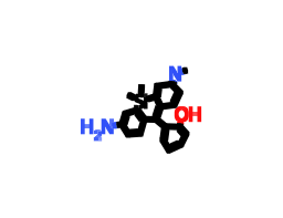 C/N=C1\C=CC2=C(c3ccccc3O)c3ccc(N)cc3[Si](C)(C)C2=C1